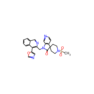 CS(=O)(=O)N1CCC2(CC1)C(=O)N(Cc1ncc3ccccc3c1-c1cnco1)c1cnccc12